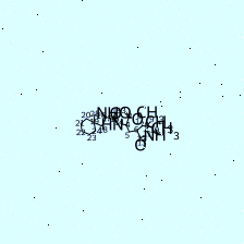 COC(=O)C(CC1CC(C)(C)NC1=O)NC(=O)C1CC2(CCCCC2)CN1